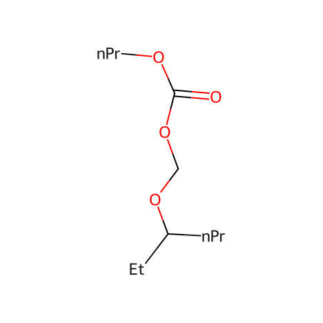 CCCOC(=O)OCOC(CC)CCC